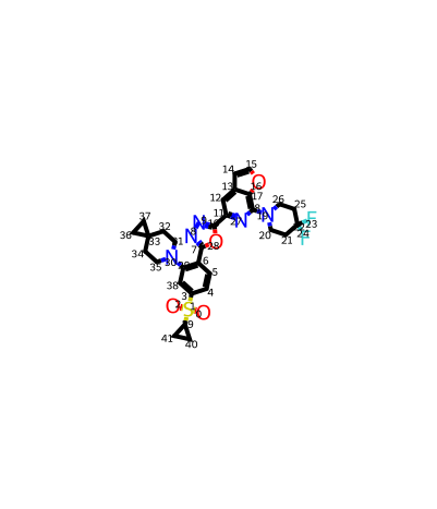 O=S(=O)(c1ccc(-c2nnc(-c3cc4ccoc4c(N4CCC(F)(F)CC4)n3)o2)c(N2CCC3(CC2)CC3)c1)C1CC1